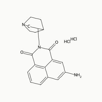 Cl.Cl.Nc1cc2c3c(cccc3c1)C(=O)N(C1CN3CCC1CC3)C2=O